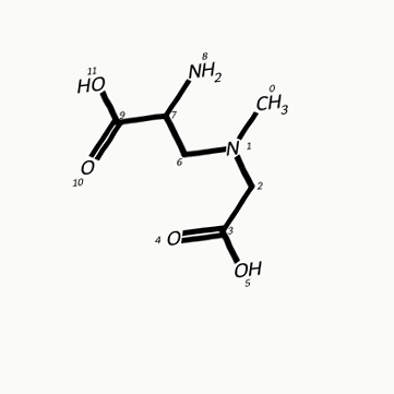 CN(CC(=O)O)CC(N)C(=O)O